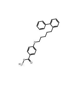 COC(=O)c1ccc(OCCCCCc2ccccc2-c2ccccc2)cc1